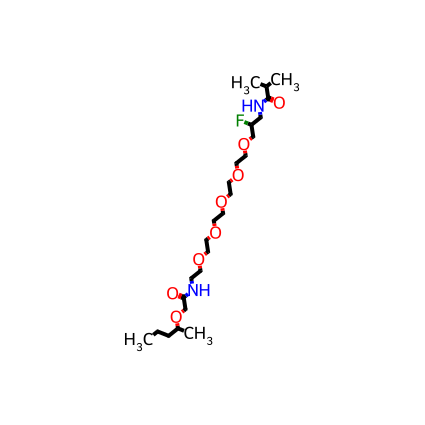 CCCC(C)OCC(=O)NCCOCCOCCOCCOCCOCC(F)CNC(=O)C(C)C